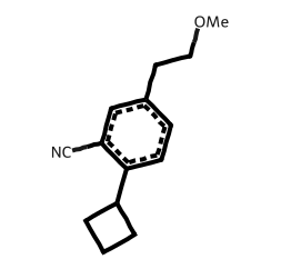 COCCc1ccc(C2CCC2)c(C#N)c1